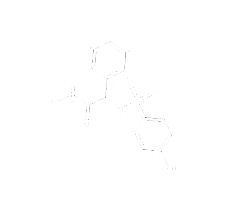 Cc1ccc(S(=O)(=O)OC(C(=O)NC(C)C)c2ccccc2)cc1